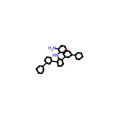 Nc1ccccc1Nc1c(-c2cccc(-c3ccccc3)c2)cccc1-c1cccc(-c2ccccc2)c1